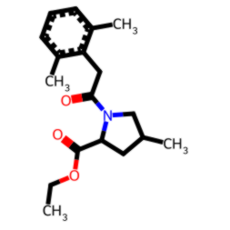 CCOC(=O)C1CC(C)CN1C(=O)Cc1c(C)cccc1C